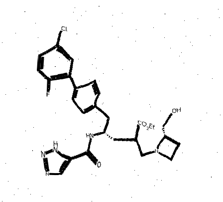 CCOC(=O)C(C[C@@H](Cc1ccc(-c2cc(Cl)ccc2F)cc1)NC(=O)c1cnn[nH]1)CN1CC[C@H]1CO